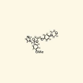 COc1ccc(C2(Cn3ccnc3)OCC(COc3ccc(N4CCOCC4)cc3)O2)cc1